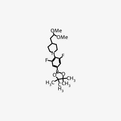 COC(CC1CCN(c2c(F)cc(B3OC(C)(C)C(C)(C)O3)cc2F)CC1)OC